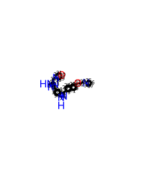 c1cc2cc(-c3n[nH]c4ccc(-c5n[nH]c(CN6CCOCC6)n5)cc34)ccc2cc1OCCN1CCCC1